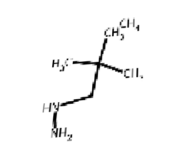 C.CC(C)(C)CNN